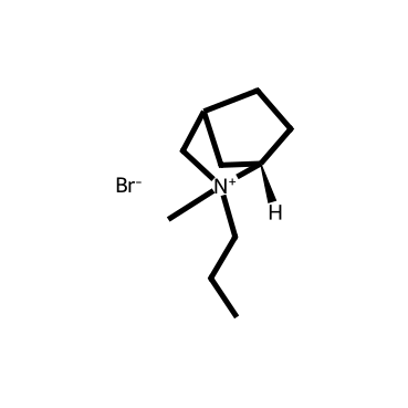 CCC[N+]1(C)CC2CC[C@H]1C2.[Br-]